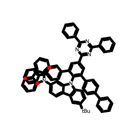 CC(C)(C)c1ccc2c(c1)c1ccc(-n3c4ccccc4c4ccccc43)cc1n2-c1c(-c2ccc(-c3ccccc3)cc2)cc(-c2nc(-c3ccccc3)nc(-c3ccccc3)n2)cc1-c1ccc(-c2ccccc2)cc1